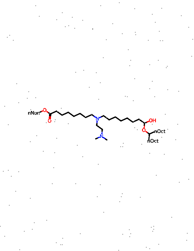 CCCCCCCCCOC(=O)CCCCCCCN(CCCCCCCC(O)OC(CCCCCCCC)CCCCCCCC)CCN(C)C